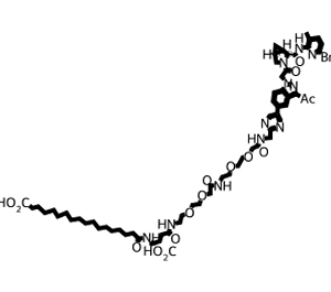 CC(=O)c1nn(CC(=O)N2C[C@H]3C[C@H]3[C@H]2C(=O)Nc2nc(Br)ccc2C)c2ccc(-c3cnc(CNC(=O)COCCOCCNC(=O)COCCOCCNC(=O)CC[C@H](NC(=O)CCCCCCCCCCCCCCCCC(=O)O)C(=O)O)nc3)cc12